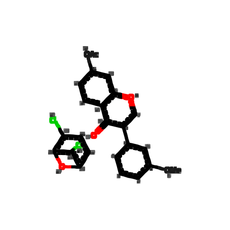 COc1cccc(-c2coc3cc(OC(C)=O)ccc3c2=O)c1.Clc1ccc2c(Cl)c1O2